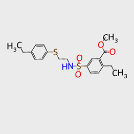 CCc1ccc(SCCNS(=O)(=O)c2ccc(CC)c(C(=O)OC)c2)cc1